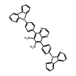 Nc1c(N)c(-c2ccc(-n3c4ccccc4c4ccccc43)cc2)c2nccnc2c1-c1ccc(-n2c3ccccc3c3ccccc32)cc1